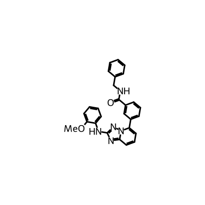 COc1ccccc1Nc1nc2cccc(-c3cccc(C(=O)NCc4ccccc4)c3)n2n1